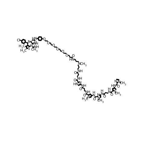 CC(=N)N1C(=N)[C@H](CC(=O)Nc2ccc(OCCOCCOCCOCCOCCOCCC(=O)NCCCN(C)CCCNC(=O)CCNC(=O)c3nc(NC(=O)CCNC(=O)c4cc(NC(=O)c5nc(NC(=O)CCNC(=O)c6cc(NC(=O)c7nccn7C)cn6C)cn5C)cn4C)c[nH]3)cc2)N=C(c2ccc(Cl)cc2)c2c1sc(C)c2C